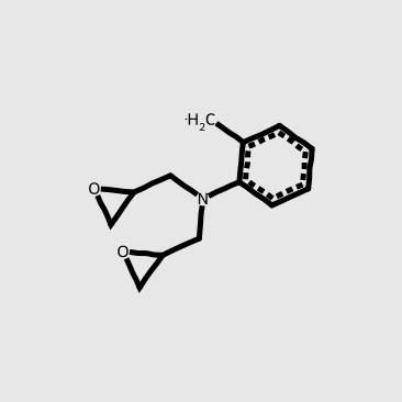 [CH2]c1ccccc1N(CC1CO1)CC1CO1